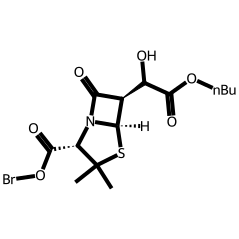 CCCCOC(=O)C(O)[C@@H]1C(=O)N2[C@@H]1SC(C)(C)[C@@H]2C(=O)OBr